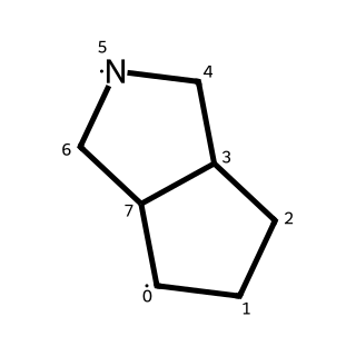 [CH]1CCC2C[N]CC12